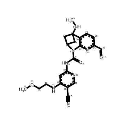 CNC12CC(C1)N(C(=O)Nc1cc(NCCOC)c(C#N)cn1)c1nc(C=O)ccc12